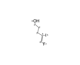 OCCCC(I)=CF